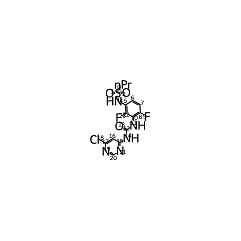 CCCS(=O)(=O)Nc1ccc(F)c(NC(=O)Nc2cc(Cl)ncn2)c1F